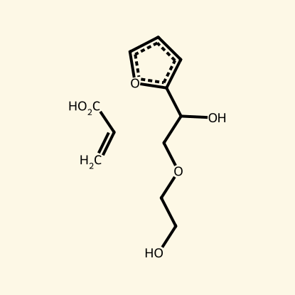 C=CC(=O)O.OCCOCC(O)c1ccco1